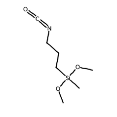 CO[Si](C)(CCCN=C=O)OC